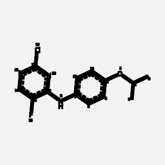 CC(C)Oc1ccc(Nc2nc(Cl)ncc2F)cc1